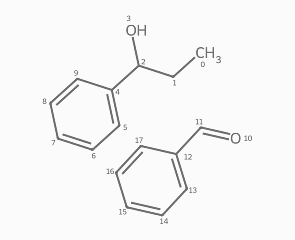 CCC(O)c1ccccc1.O=Cc1ccccc1